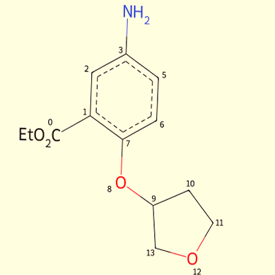 CCOC(=O)c1cc(N)ccc1OC1CCOC1